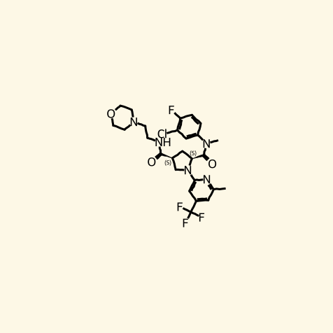 Cc1cc(C(F)(F)F)cc(N2C[C@@H](C(=O)NCCN3CCOCC3)C[C@H]2C(=O)N(C)c2ccc(F)c(Cl)c2)n1